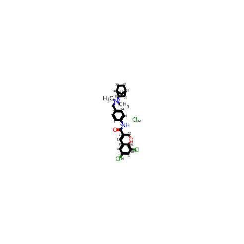 C[N+](C)(Cc1ccc(NC(=O)C2=Cc3cc(Cl)cc(Cl)c3OC2)cc1)C1CC2CCC1C2.[Cl-]